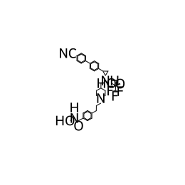 N#Cc1ccc(-c2ccc(C3CC3NCC3CCN(CCCc4ccc(C(=O)NO)cc4)CC3)cc2)cc1.O=C(O)C(F)(F)F